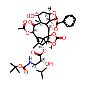 CC(=O)O[C@H]1C(=O)[C@@]2(C)C([C@H](OC(=O)c3ccccc3)[C@]34OC(=O)O[C@H]3[C@H](OC(=O)[C@H](O)[C@H](CC(C)C)NC(=O)OC(C)(C)C)C(C)=C1C4(C)C)[C@]1(C)CO[C@@H]1C[C@@H]2O